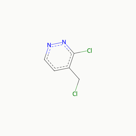 ClCc1ccnnc1Cl